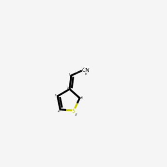 N#CC=C1C=CSC1